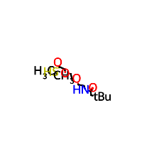 C[SH](C)C(=O)COCCOCCNC(=O)CC(C)(C)C